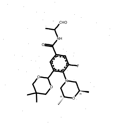 CC(C=O)NC(=O)c1cc(F)c(N2C[C@@H](C)O[C@H](C)C2)c(C2OCC(C)(C)CO2)c1